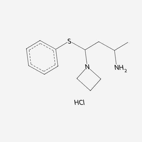 CC(N)CC(Sc1ccccc1)N1CCC1.Cl